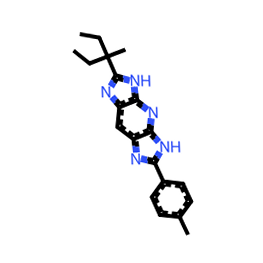 CCC(C)(CC)c1nc2cc3nc(-c4ccc(C)cc4)[nH]c3nc2[nH]1